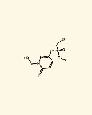 CCOP(=S)(OCC)Oc1ccc(=O)n(CO)n1